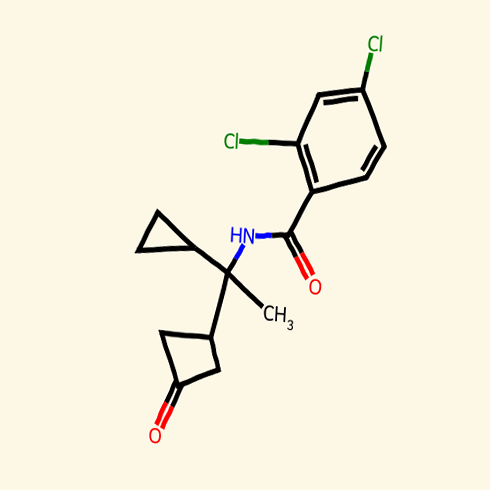 CC(NC(=O)c1ccc(Cl)cc1Cl)(C1CC1)C1CC(=O)C1